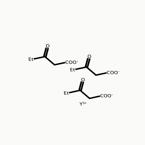 CCC(=O)CC(=O)[O-].CCC(=O)CC(=O)[O-].CCC(=O)CC(=O)[O-].[Y+3]